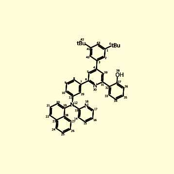 CC(C)(C)c1cc(-c2cc(-c3cccc(N(c4ccccn4)c4cccc5ccccc45)c3)nc(-c3ccccc3O)c2)cc(C(C)(C)C)c1